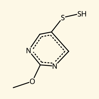 COc1ncc(SS)cn1